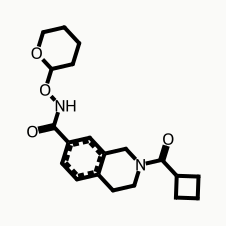 O=C(NOC1CCCCO1)c1ccc2c(c1)CN(C(=O)C1CCC1)CC2